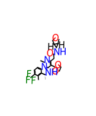 Cc1nc(CC(=O)N[C@H]2[C@@H]3COC[C@@H]32)c(C2OCCO2)c(N[C@H](C)c2cccc(C(F)(F)F)c2C)n1